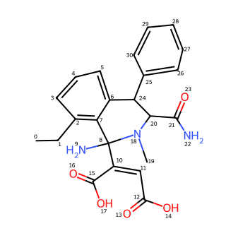 CCc1cccc2c1C(N)(C(=CC(=O)O)C(=O)O)N(C)C(C(N)=O)C2c1ccccc1